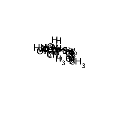 CC(c1cc[nH]c(=O)c1)c1cnc(NCCSCc2ccc(CN(C)C)o2)[nH]c1=O